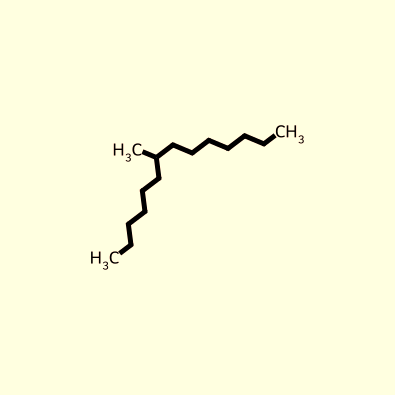 CCCCCCCC(C)CCCCCC